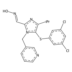 CC(C)c1nc(C=NO)n(Cc2cccnc2)c1Sc1cc(Cl)cc(Cl)c1